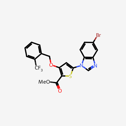 COC(=O)c1sc(-n2cnc3cc(Br)ccc32)cc1OCc1ccccc1C(F)(F)F